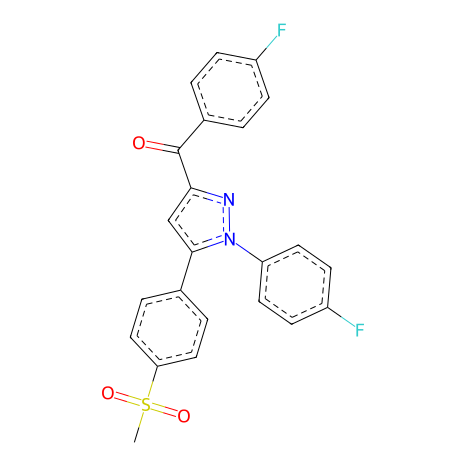 CS(=O)(=O)c1ccc(-c2cc(C(=O)c3ccc(F)cc3)nn2-c2ccc(F)cc2)cc1